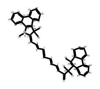 C=C(/C=C/C=C/C=C/C=C/C=C1/N(C)c2c(c3ccccc3c3ccccc23)C1(C)C)C(C)(C)c1c(C)c2ccccc2c2ccccc12